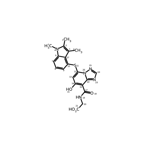 Cc1c(C)n(C)c2cccc(Sc3cc(O)c(C(=O)NCC(=O)O)c4ncnn34)c12